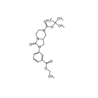 CCOC(=O)c1cccc(N2CC3CN(C(=O)OC(C)(C)C)CCN3C2=O)c1